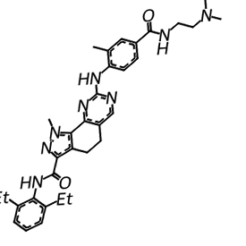 CCc1cccc(CC)c1NC(=O)c1nn(C)c2c1CCc1cnc(Nc3ccc(C(=O)NCCN(C)C)cc3C)nc1-2